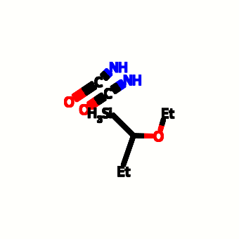 CCOC([SiH3])CC.N=C=O.N=C=O